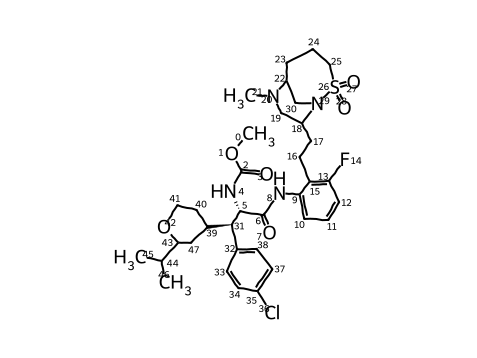 COC(=O)N[C@H](C(=O)Nc1cccc(F)c1CCC1CN(C)C2CCCS(=O)(=O)N1C2)[C@@H](c1ccc(Cl)cc1)C1CCOC(C(C)C)C1